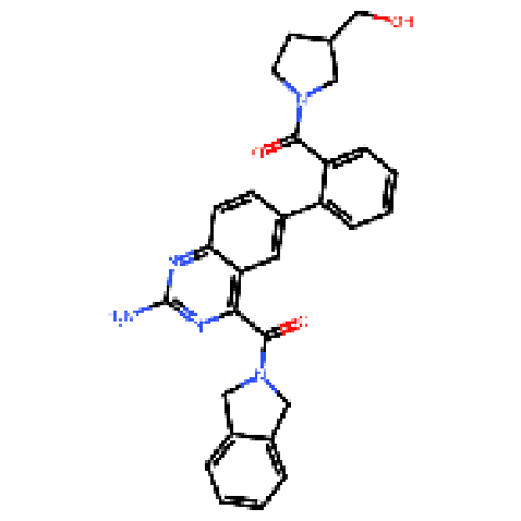 Nc1nc(C(=O)N2Cc3ccccc3C2)c2cc(-c3ccccc3C(=O)N3CCC(CO)C3)ccc2n1